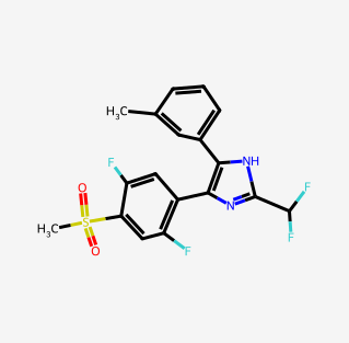 Cc1cccc(-c2[nH]c(C(F)F)nc2-c2cc(F)c(S(C)(=O)=O)cc2F)c1